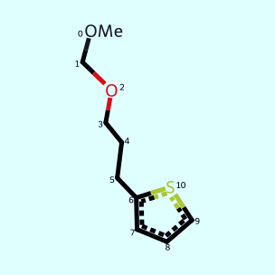 COCOCCCc1cccs1